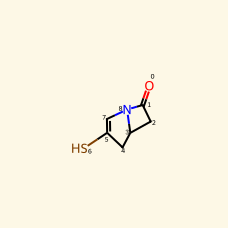 O=C1CC2CC(S)=CN12